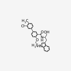 CCOc1ccc(-c2ccc(C)c(Cl)c2)cc1C(=O)NC(CO)Cc1c[nH]c2ccccc12